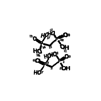 O=P(O)(O)CP(=O)(O)O.O=P(O)(O)CP(=O)(O)O